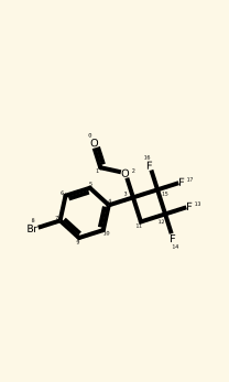 O=COC1(c2ccc(Br)cc2)CC(F)(F)C1(F)F